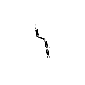 O=[C]N=C=O